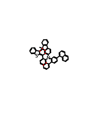 CC1(C)C2=C(C=CCC2)c2ccc(N(c3cc(-c4cccc5ccccc45)ccc3-c3ccccc3)c3ccccc3-c3cccc4c3sc3ccccc34)cc21